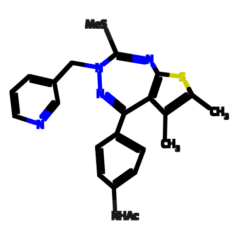 CSC1=Nc2sc(C)c(C)c2C(c2ccc(NC(C)=O)cc2)=NN1Cc1cccnc1